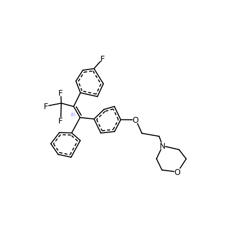 Fc1ccc(/C(=C(/c2ccccc2)c2ccc(OCCN3CCOCC3)cc2)C(F)(F)F)cc1